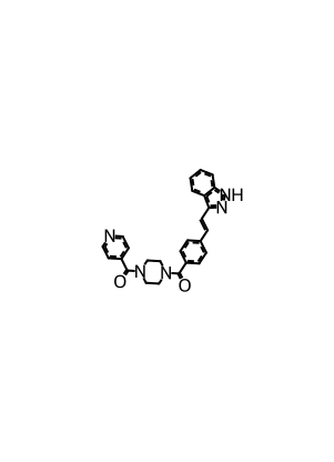 O=C(c1ccncc1)N1CCN(C(=O)c2ccc(C=Cc3n[nH]c4ccccc34)cc2)CC1